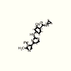 Cc1ncc(-c2ccnc(Nc3ccc(C(=O)NC4CC4)c(C#N)c3)n2)n1C(C)C